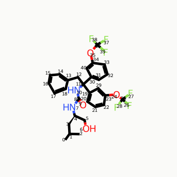 CC(C)C[C@H](CO)NC(=O)NC(Cc1ccccc1)(c1cccc(OC(F)(F)F)c1)c1cccc(OC(F)(F)F)c1